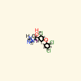 CC(O)(c1ccc(Oc2ccc(Cl)cc2Cl)cc1Cl)C(I)n1cncn1